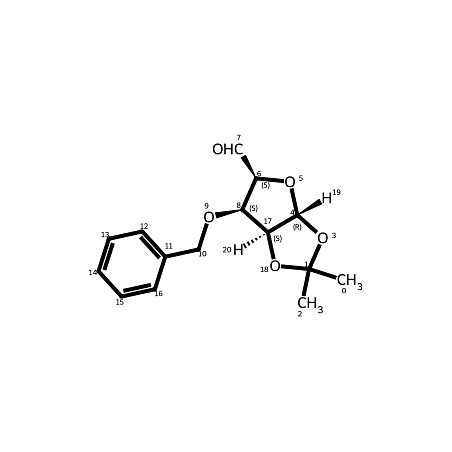 CC1(C)O[C@H]2O[C@H](C=O)[C@H](OCc3ccccc3)[C@@H]2O1